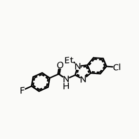 CCn1c(NC(=O)c2ccc(F)cc2)nc2cc(Cl)ccc21